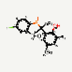 CCCCC(C)(Pc1ccc(F)cc1C=O)c1cc(C(C)(C)C)cc(C)c1O